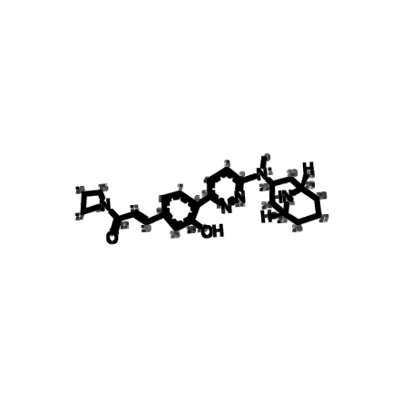 CN(c1ccc(-c2ccc(/C=C/C(=O)N3CCC3)cc2O)nn1)C1C[C@H]2CCC[C@@H](C1)N2